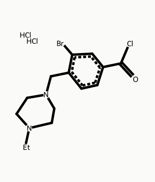 CCN1CCN(Cc2ccc(C(=O)Cl)cc2Br)CC1.Cl.Cl